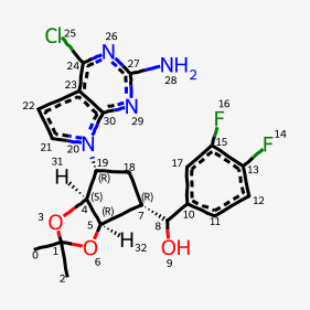 CC1(C)O[C@@H]2[C@H](O1)[C@@H](C(O)c1ccc(F)c(F)c1)C[C@H]2n1ccc2c(Cl)nc(N)nc21